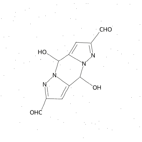 O=Cc1cc2n(n1)C(O)c1cc(C=O)nn1C2O